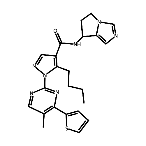 CCCCc1c(C(=O)NC2CCn3cncc32)cnn1-c1ncc(C)c(-c2cccs2)n1